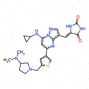 CN(C)C1CCN(Cc2cc(-c3cc(NC4CC4)n4ncc(/C=C5\NC(=O)NC5=O)c4n3)cs2)C1